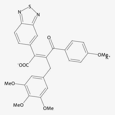 COc1ccc(C(=O)C(Cc2cc(OC)c(OC)c(OC)c2)=C(C(=O)[O-])c2ccc3nsnc3c2)cc1.[K+]